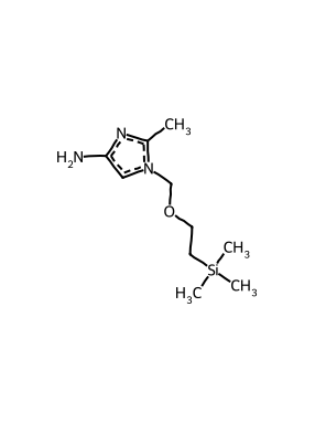 Cc1nc(N)cn1COCC[Si](C)(C)C